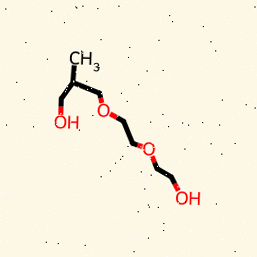 CC(CO)COCCOCCO